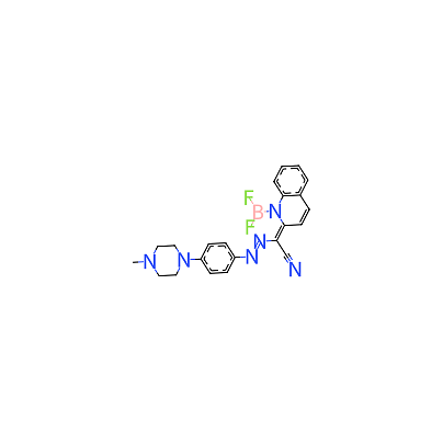 CN1CCN(c2ccc(/N=N/C(C#N)=C3/C=Cc4ccccc4N3B(F)F)cc2)CC1